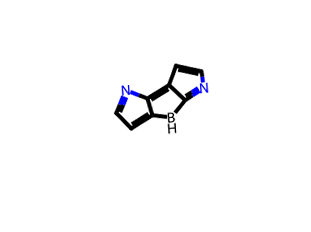 B1C2=CC=NC2=C2C=CN=C12